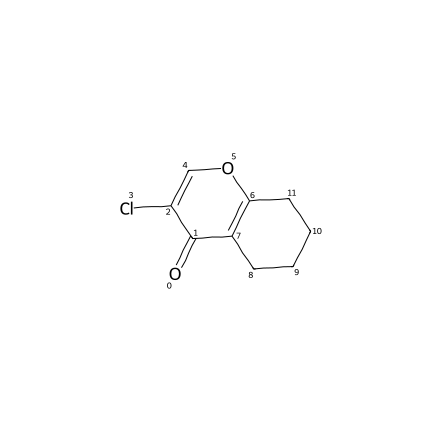 O=c1c(Cl)coc2c1CCCC2